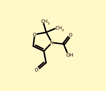 CC1(C)OC=C(C=O)N1C(=O)O